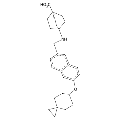 O=C(O)C12CCC(NCc3ccc4cc(OC5CCC6(CC5)CC6)ccc4c3)(CC1)CC2